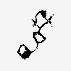 O=S1(=O)C=CCS(=O)(=O)C(c2ccc(Oc3ccccc3)cc2)=C1